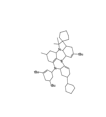 CC1CC2=C3B(C4=CCC(C5CCCCC5)CC4N2C2C=C(C(C)(C)C)CC(C(C)(C)C)C2)C2C=C(C(C)(C)C)CC4C2N(C3C1)C(C)(C)C41CCCCC1